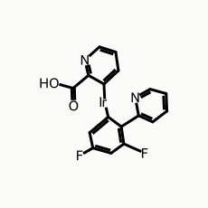 O=C(O)c1nccc[c]1[Ir][c]1cc(F)cc(F)c1-c1ccccn1